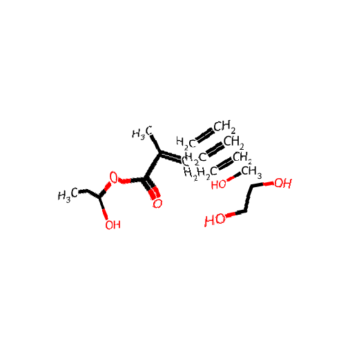 C=C.C=C.C=C.C=C(C)C(=O)OC(C)O.CO.OCCO